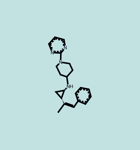 CC(=Cc1ccccc1)[C@@H]1C[C@H]1NC1CCN(c2ncccn2)CC1